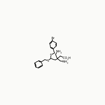 NCC(CN)(CC(=O)O)CC(SCc1ccccc1)SCc1ccc(Br)cc1